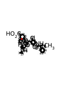 Cn1cc(C(=O)Nc2cc(Cl)c(CC(=O)C(OC3CCC(C(=O)O)CC3)(N3CCCC3)N3C[C@@H]4C[C@H]3CN4C3CC3)cc2Cl)c2ccccc21